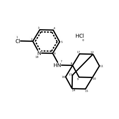 Cl.Clc1cccc(NC23CC4CC(CC(C4)C2)C3)n1